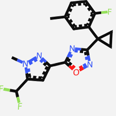 Cc1ccc(F)c(C2(c3noc(-c4cc(C(F)F)n(C)n4)n3)CC2)c1